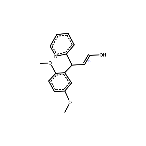 COc1ccc(OC)c(C(/C=C/O)c2ccccn2)c1